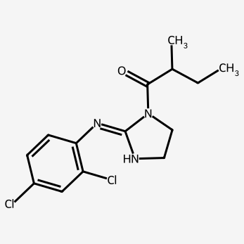 CCC(C)C(=O)N1CCN/C1=N\c1ccc(Cl)cc1Cl